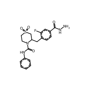 NNC(=O)c1ccc(CC2CS(=O)(=O)CCN2C(=O)Nc2ccccc2)c(F)c1